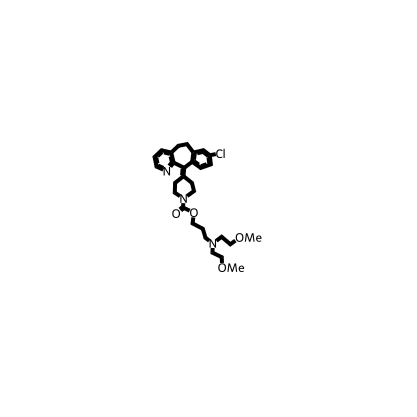 COCCN(CCCOC(=O)N1CCC(=C2c3ccc(Cl)cc3CCc3cccnc32)CC1)CCOC